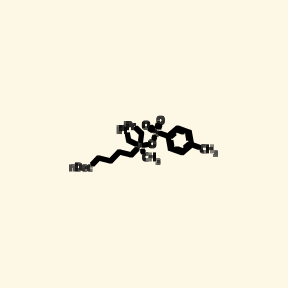 CCCCCCCCCCCCCCP(C)(CC(C)C)(CC(C)C)OS(=O)(=O)c1ccc(C)cc1